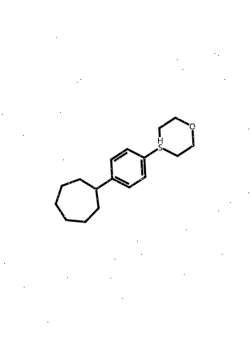 c1cc([SH]2CCOCC2)ccc1C1CCCCCC1